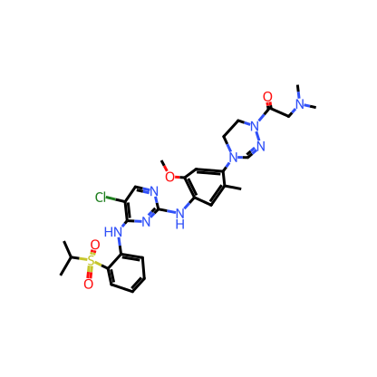 COc1cc(N2C=NN(C(=O)CN(C)C)CC2)c(C)cc1Nc1ncc(Cl)c(Nc2ccccc2S(=O)(=O)C(C)C)n1